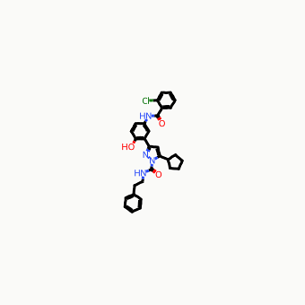 O=C(Nc1ccc(O)c(-c2cc(C3CCCC3)n(C(=O)NCCc3ccccc3)n2)c1)c1ccccc1Cl